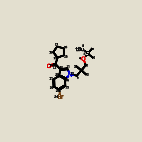 CC(C)(CO[Si](C)(C)C(C)(C)C)Cn1cc(C(=O)C2CCCC2)c2ccc(Br)cc21